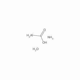 N.O.O=[C](O)[AlH2]